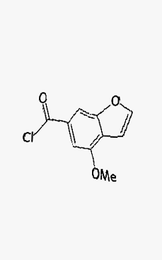 COc1cc(C(=O)Cl)cc2occc12